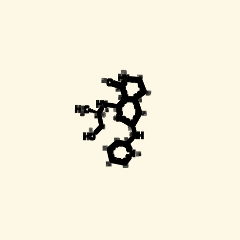 C[C@@H](CO)Nc1nc(Nc2ccccn2)cc2cc[nH]c(=O)c12